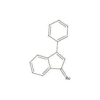 [Ru]=[C]1C=C(c2ccccc2)c2ccccc21